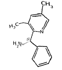 Cc1cnc([C@@H](N)c2ccccc2)c(C)c1